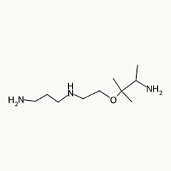 CC(N)C(C)(C)OCCNCCCN